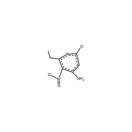 CCc1nc(Cl)cc(N)c1[N+](=O)[O-]